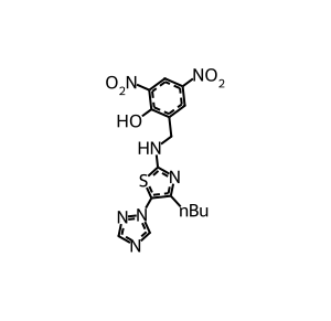 CCCCc1nc(NCc2cc([N+](=O)[O-])cc([N+](=O)[O-])c2O)sc1-n1cncn1